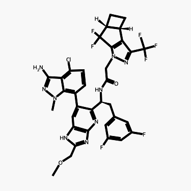 COCc1nc2nc([C@H](Cc3cc(F)cc(F)c3)NC(=O)Cn3nc(C(F)(F)F)c4c3C(F)(F)[C@@H]3CC[C@H]43)c(-c3ccc(Cl)c4c(N)nn(C)c34)cc2[nH]1